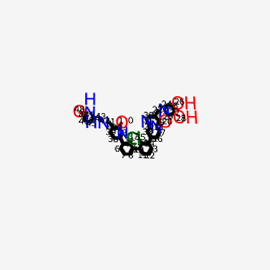 COc1nc(-c2cccc(-c3cccc(-c4ccn5c(=O)c(CN6C[C@H](O)[C@@H](O)C6)cnc5c4)c3Cl)c2Cl)ccc1CNC[C@@H]1CCC(=O)N1